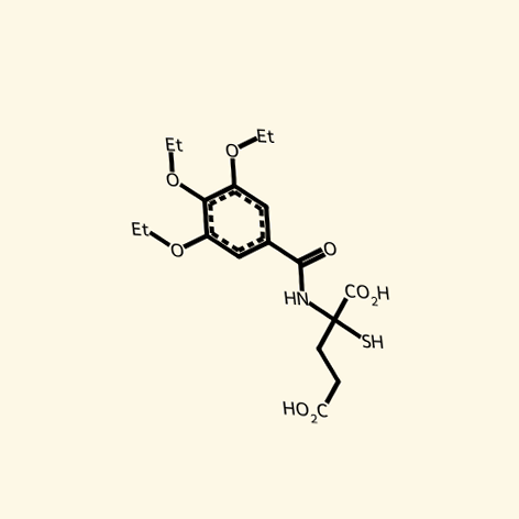 CCOc1cc(C(=O)NC(S)(CCC(=O)O)C(=O)O)cc(OCC)c1OCC